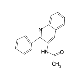 CC(=O)Nc1cc2ccccc2nc1-c1ccccc1